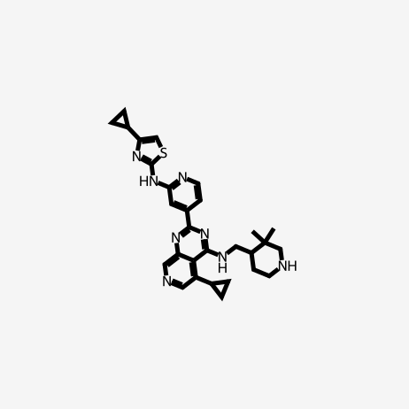 CC1(C)CNCCC1CNc1nc(-c2ccnc(Nc3nc(C4CC4)cs3)c2)nc2cncc(C3CC3)c12